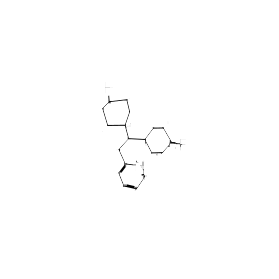 FC1CCC(C(Cc2ccccn2)C2CCC(F)CC2)CC1